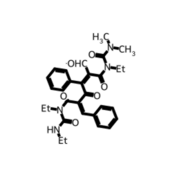 CCNC(=O)N(CC)C(=O)C(=Cc1ccccc1)C(=O)C(=C([C]=O)C(=O)N(CC)C(=O)N(C)C)c1ccccc1